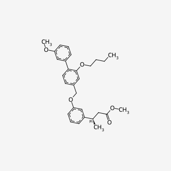 CCCCOc1cc(COc2cccc([C@H](C)CC(=O)OC)c2)ccc1-c1cccc(OC)c1